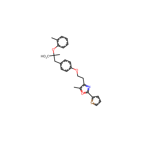 Cc1ccccc1OC(C)(Cc1ccc(OCCc2nc(-c3cccs3)oc2C)cc1)C(=O)O